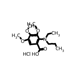 CCCN(CC)c1c(C(=O)O)cc(OC)c(OC)c1OC.Cl